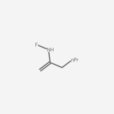 C=C(CCCC)NF